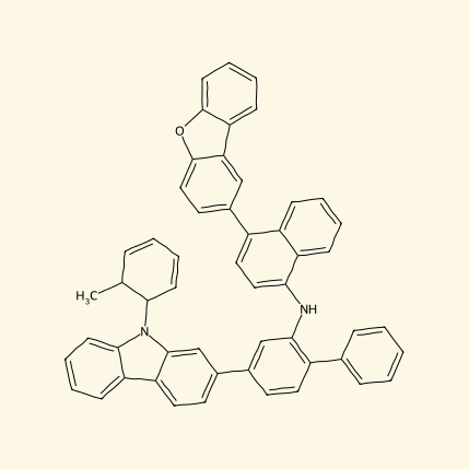 CC1C=CC=CC1n1c2ccccc2c2ccc(-c3ccc(-c4ccccc4)c(Nc4ccc(-c5ccc6oc7ccccc7c6c5)c5ccccc45)c3)cc21